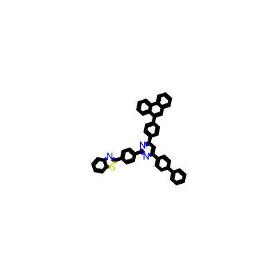 C1=CC2N=C(c3ccc(-c4nc(C5=CCC(c6ccccc6)C=C5)cc(-c5ccc(-c6cc7ccccc7c7ccccc67)cc5)n4)cc3)SC2C=C1